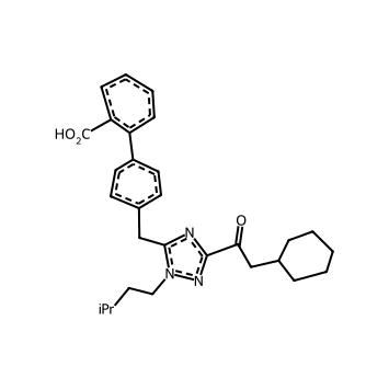 CC(C)CCn1nc(C(=O)CC2CCCCC2)nc1Cc1ccc(-c2ccccc2C(=O)O)cc1